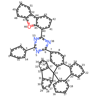 c1ccc(-c2nc(-c3ccc4c(c3)C3(c5ccccc5-c5ccccc5-4)c4ccccc4-c4ccccc43)nc(-c3cccc4c3oc3ccccc34)n2)cc1